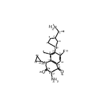 Cc1c(N2CCC([C@@H](C)N)C2)c(F)cc2c(=O)n(N)c(=O)n(C3CC3)c12